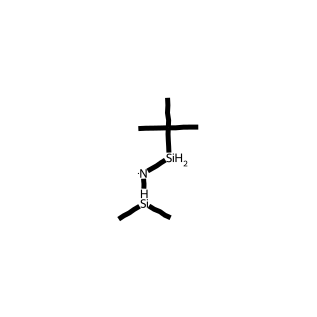 C[SiH](C)[N][SiH2]C(C)(C)C